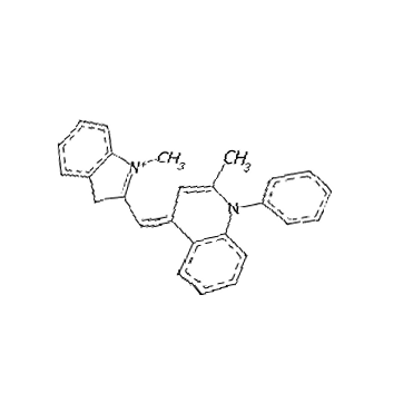 CC1=C/C(=C\C2=[N+](C)c3ccccc3C2)c2ccccc2N1c1ccccc1